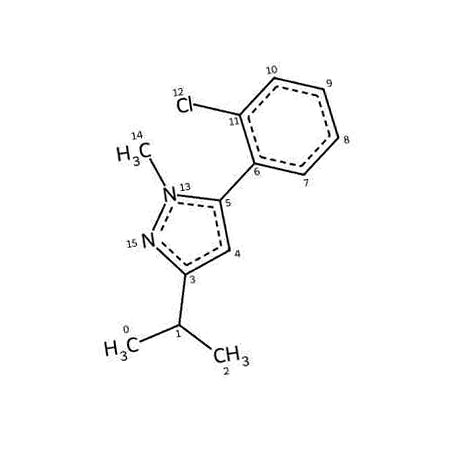 CC(C)c1cc(-c2ccccc2Cl)n(C)n1